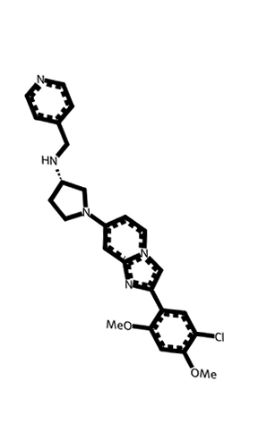 COc1cc(OC)c(-c2cn3ccc(N4CC[C@H](NCc5ccncc5)C4)cc3n2)cc1Cl